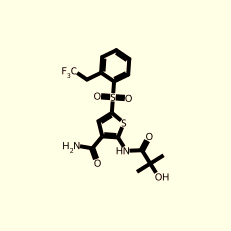 CC(C)(O)C(=O)Nc1sc(S(=O)(=O)c2ccccc2CC(F)(F)F)cc1C(N)=O